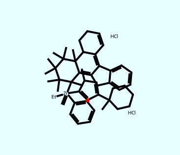 Cl.Cl.[CH2]=[Zr]([CH2]C)([C]1=CC(C2(C)CCCCC2)=CC1C)([c]1ccccc1)[C]1(C)C2=C3Cc4ccccc4C3=C3C=CCCC3C2(C)C(C)(C)C(C)(C)C1(C)C